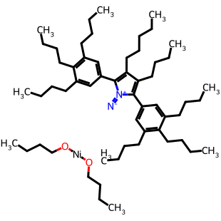 CCCCCC1=C(c2cc(CCCC)c(CCCC)c(CCCC)c2)[N+](=[N-])C(c2cc(CCCC)c(CCCC)c(CCCC)c2)=C1CCCC.CCCC[O][Ni][O]CCCC